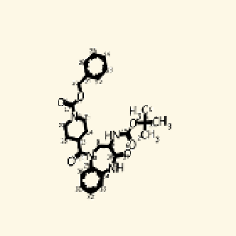 CC(C)(C)OC(=O)NC1CN(C(=O)C2CCN(C(=O)OCc3ccccc3)CC2)c2ccccc2NC1=O